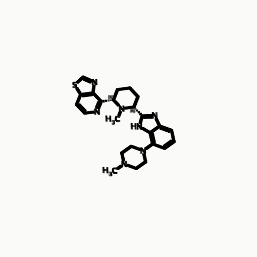 CN1CCN(c2cccc3nc([C@H]4CCC[C@@H](c5nccc6scnc56)N4C)[nH]c23)CC1